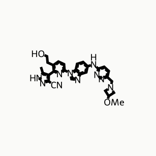 COC1CN(Cc2ccc(Nc3ccc4c(c3)ncn4-c3ccc(CCO)c(-c4c(C#N)n[nH]c4C)n3)nn2)C1